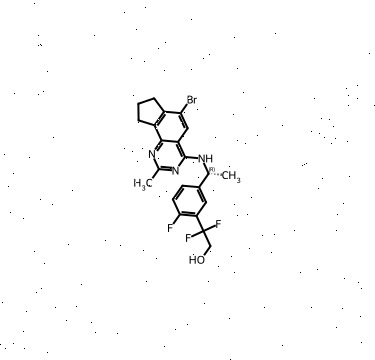 Cc1nc(N[C@H](C)c2ccc(F)c(C(F)(F)CO)c2)c2cc(Br)c3c(c2n1)CCC3